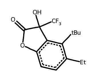 CCc1ccc2c(c1C(C)(C)C)C(O)(C(F)(F)F)C(=O)O2